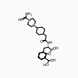 N=C(N)N1CCN(C2CCC(CC(=O)N[C@H]3Cc4cccc(C(O)O)c4OB3O)CC2)CC1